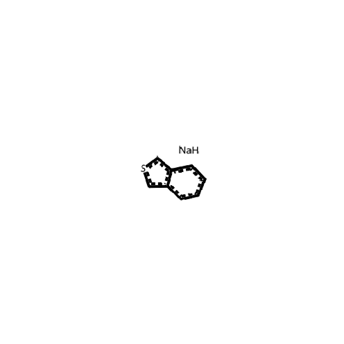 [NaH].[c]1scc2ccccc12